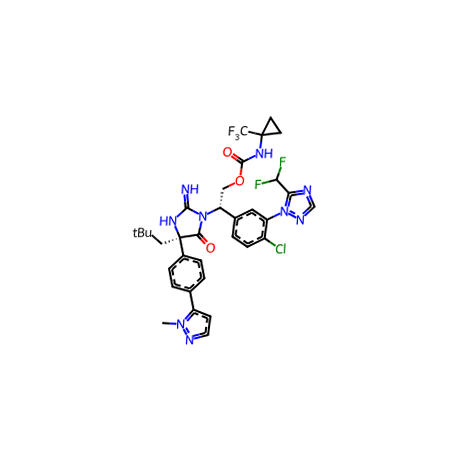 Cn1nccc1-c1ccc([C@@]2(CC(C)(C)C)NC(=N)N([C@H](COC(=O)NC3(C(F)(F)F)CC3)c3ccc(Cl)c(-n4ncnc4C(F)F)c3)C2=O)cc1